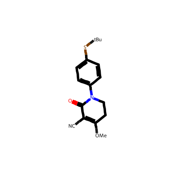 COC1=C(C#N)C(=O)N(c2ccc(SC(C)(C)C)cc2)CC1